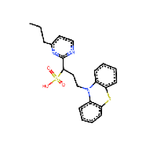 CCCc1ccnc(C(CCN2c3ccccc3Sc3ccccc32)S(=O)(=O)O)n1